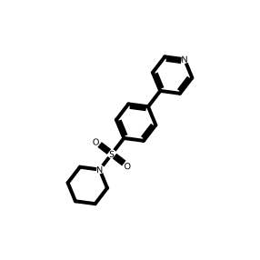 O=S(=O)(c1ccc(-c2ccncc2)cc1)N1CCCCC1